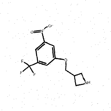 O=[N+]([O-])c1cc(OCC2CNC2)cc(C(F)(F)F)c1